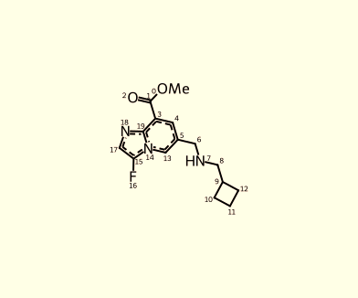 COC(=O)c1cc(CNCC2CCC2)cn2c(F)cnc12